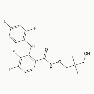 CC(C)(CO)CONC(=O)c1ccc(F)c(F)c1Nc1ccc(I)cc1F